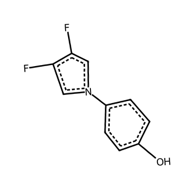 Oc1ccc(-n2cc(F)c(F)c2)cc1